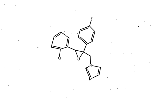 Fc1ccc(C2(Cn3ccnn3)OC2c2ccccc2Cl)cc1